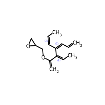 C=C/C=C(/C=C\C)C(=C/C)\C(=C)OCC1CO1